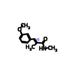 CNC(=O)/C(C)=C/c1cccc(OC)c1